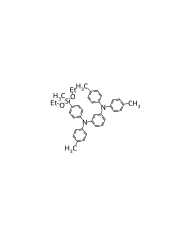 CCO[Si](C)(OCC)c1ccc(N(c2ccc(C)cc2)c2cccc(N(c3ccc(C)cc3)c3ccc(C)cc3)c2)cc1